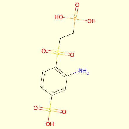 Nc1cc(S(=O)(=O)O)ccc1S(=O)(=O)CCP(=O)(O)O